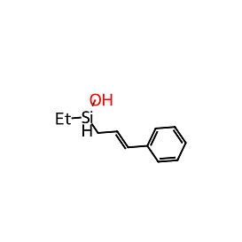 CC[SiH](O)CC=Cc1ccccc1